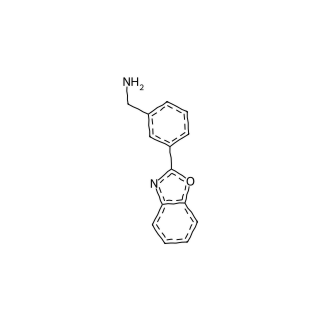 NCc1cccc(-c2nc3ccccc3o2)c1